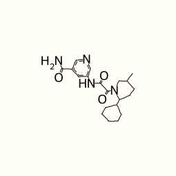 CC1CCC(C2CCCCC2)N(C(=O)C(=O)Nc2cncc(C(N)=O)c2)C1